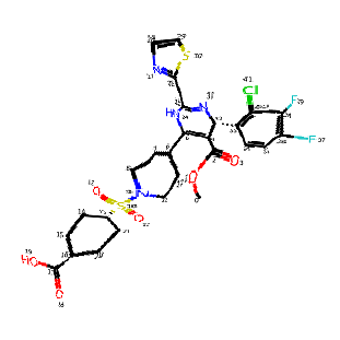 COC(=O)C1=C(C2CCN(S(=O)(=O)[C@H]3CC[C@H](C(=O)O)CC3)CC2)NC(c2nccs2)=N[C@@H]1c1ccc(F)c(F)c1Cl